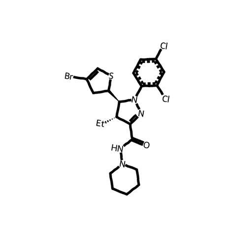 CC[C@H]1C(C(=O)NN2CCCCC2)=NN(c2ccc(Cl)cc2Cl)[C@@H]1C1CC(Br)=CS1